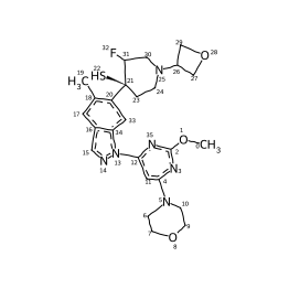 COc1nc(N2CCOCC2)cc(-n2ncc3cc(C)c([C@@]4(S)CCN(C5COC5)CC4F)cc32)n1